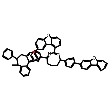 CC1c2ccccc2-c2ccc(-c3ccc4oc5cccc(C6=N/C(c7ccc(-c8ccc9c(c8)oc8ccccc89)cc7)CCC/C(c7ccccc7)=N\6)c5c4c3)cc2CC1c1ccccc1